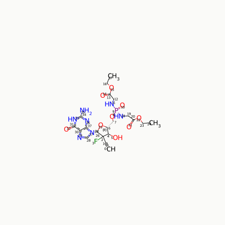 C#CC1(F)C(O)[C@@H](COP(=O)(NCC(=O)OCC)NCC(=O)OCC)O[C@H]1n1cnc2c(=O)[nH]c(N)nc21